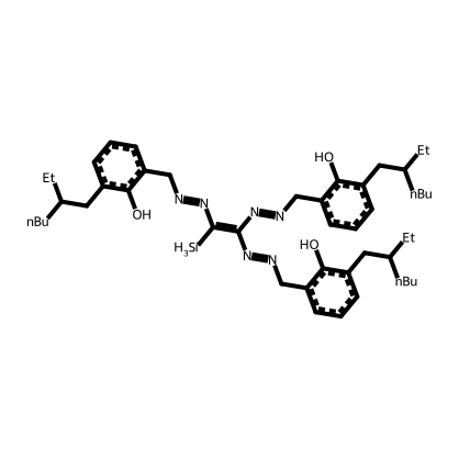 CCCCC(CC)Cc1cccc(C/N=N/C([SiH3])=C(/N=N/Cc2cccc(CC(CC)CCCC)c2O)/N=N/Cc2cccc(CC(CC)CCCC)c2O)c1O